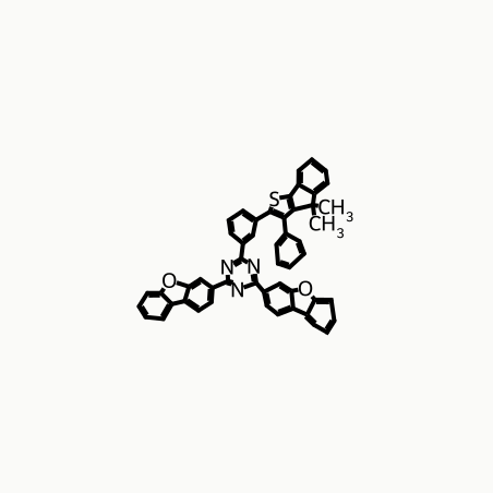 CC1(C)c2ccccc2-c2sc(-c3cccc(-c4nc(-c5ccc6c(c5)oc5ccccc56)nc(-c5ccc6c(c5)oc5ccccc56)n4)c3)c(-c3ccccc3)c21